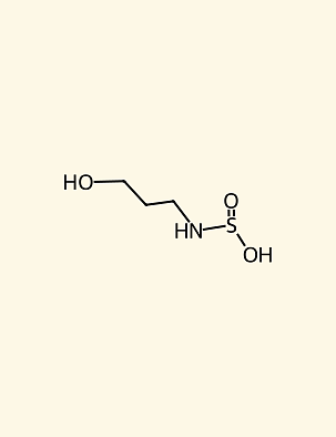 O=S(O)NCCCO